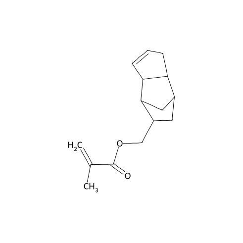 C=C(C)C(=O)OCC1CC2CC1C1C=CCC21